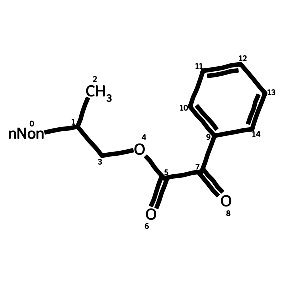 CCCCCCCCCC(C)COC(=O)C(=O)c1ccccc1